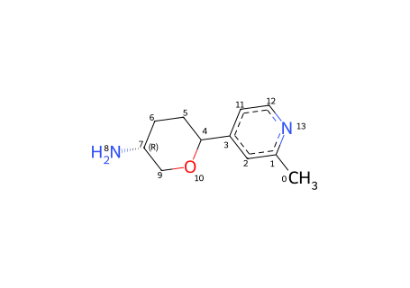 Cc1cc(C2CC[C@@H](N)CO2)ccn1